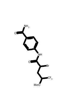 COC(CC(Br)C(=O)Nc1ccc(C(N)=O)cc1)C(F)(F)F